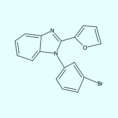 Brc1cccc(-n2c(-c3ccco3)nc3ccccc32)c1